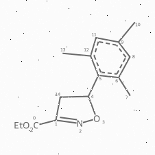 CCOC(=O)C1=NOC(c2c(C)cc(C)cc2C)C1